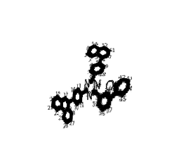 c1ccc2c(-c3ccc(-c4nc(-c5ccc(-c6cc7ccccc7c7ccccc67)cc5)nc(-c5cccc6c5oc5ccccc56)n4)cc3)cccc2c1